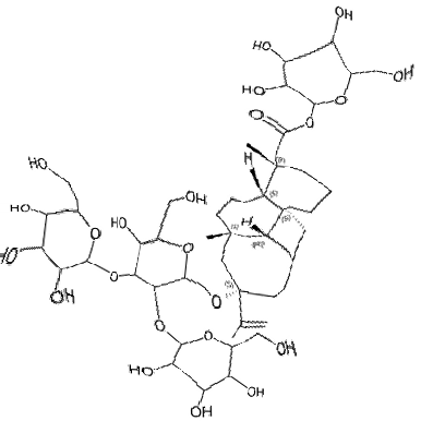 C=C(C)[C@]1(OC2OC(CO)C(O)C(OC3OC(CO)C(O)C(O)C3O)C2OC2OC(CO)C(O)C(O)C2O)CC2C[C@@]34CCC[C@@](C)(C(=O)OC5OC(CO)C(O)C(O)C5O)[C@H]3CC[C@@](C)(C1)[C@@H]24